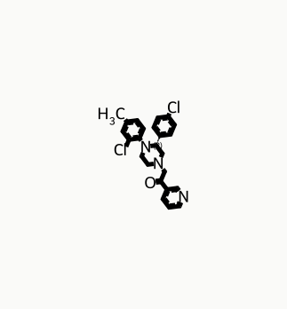 Cc1ccc(N2CCN(CC(=O)c3cccnc3)C[C@H]2c2ccc(Cl)cc2)c(Cl)c1